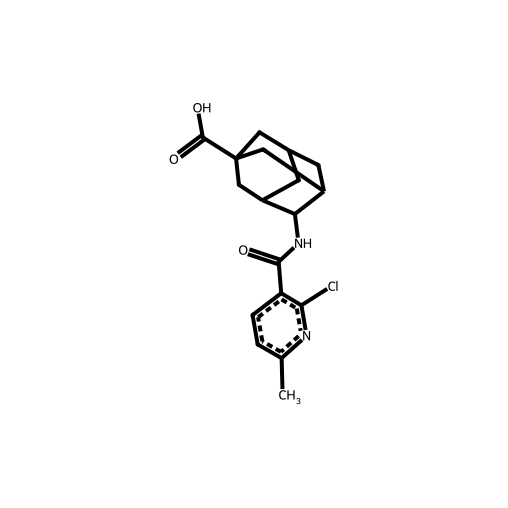 Cc1ccc(C(=O)NC2C3CC4CC2CC(C(=O)O)(C4)C3)c(Cl)n1